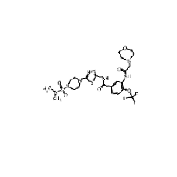 CN(C)S(=O)(=O)N1CCN(c2nnc(NC(=O)c3ccc(OC(F)(F)F)c(NC(=O)CN4CCOCC4)c3)s2)CC1